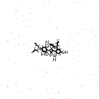 C=CCN(CC=C)c1cc(O)c(C2C(=O)C(c3c(O)cc(O)cc3N(CC=C)CC=C)=C2O)c(O)c1